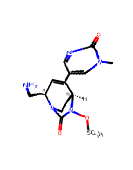 Cn1cc(C2=C[C@H](CN)N3C[C@@H]2N(OS(=O)(=O)O)C3=O)cnc1=O